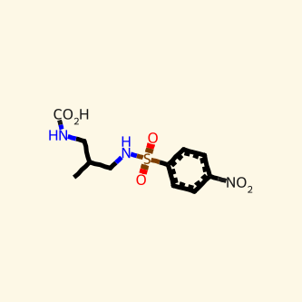 CC(CNC(=O)O)CNS(=O)(=O)c1ccc([N+](=O)[O-])cc1